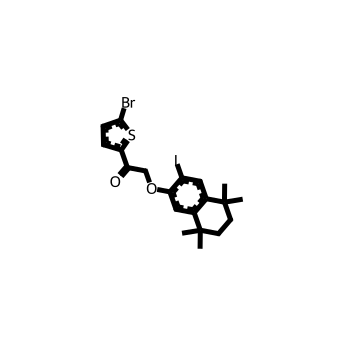 CC1(C)CCC(C)(C)c2cc(OCC(=O)c3ccc(Br)s3)c(I)cc21